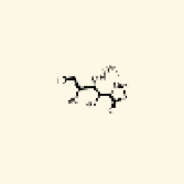 O.O=C1OOO[C@H]1[C@@H](O)[C@H](O)[C@@H](O)CO